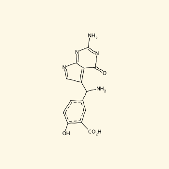 NC1=NC(=O)C2=C(C(N)c3ccc(O)c(C(=O)O)c3)C=NC2=N1